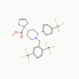 COC(=O)C1([C@H]2CCN(Cc3cc(C(F)(F)F)ccc3C(F)(F)F)[C@@H](c3ccc(C(F)(F)F)cc3)C2)CC=CC1